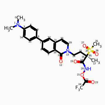 CN(C)c1ccc(-c2ccc3c(=O)n(CC[C@](C)(C(=O)NOC(=O)C(F)(F)F)S(C)(=O)=O)ccc3c2)cc1